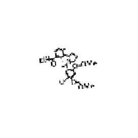 CCNC(=O)c1ccc(C)c(C2CCCN2C(=O)c2cc(Cl)c(OCOC)cc2OCOC)c1